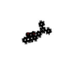 c1ccc(-c2cc(-c3ccccc3)nc(-c3ccc(-c4ccc5c(c4)C4(c6cc7ccccc7cc6S5)c5ccccc5-c5ccccc54)cc3)n2)cc1